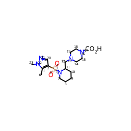 Cc1c(S(=O)(=O)N2CCCCC2CN2CCN(C(=O)O)CC2)cnn1C